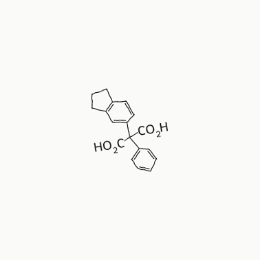 O=C(O)C(C(=O)O)(c1ccccc1)c1ccc2c(c1)CCC2